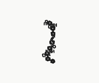 O=C1CCC(Nc2ccc(C3CCN(CCN4CCN(C(=O)C5CCCC(Nc6ncc(Cl)c(-c7cccc(-c8ccccc8)c7)n6)C5)CC4)CC3)cc2)C(=O)N1